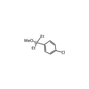 CC[Si](CC)(OC)c1ccc(Cl)cc1